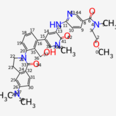 COCCN(C)C(=O)c1ccc(Nc2cc(-c3cccc(N4CCc5cc(N(C)C)ccc5C4=O)c3CO)cn(C)c2=O)nc1